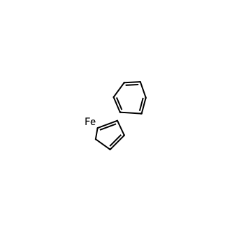 C1=CCC=C1.[Fe].c1ccccc1